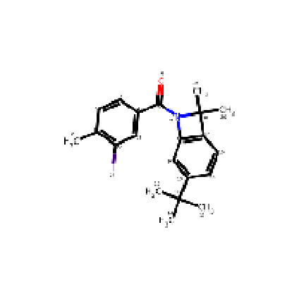 Cc1ccc(C(=O)N2c3cc(C(C)(C)C)ccc3C2(C)C)cc1I